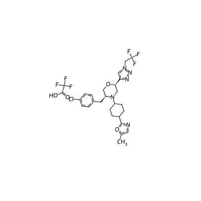 Cc1cnc(C2CCC(N3C[C@H](c4cn(CC(F)(F)F)nn4)OC[C@@H]3Cc3ccc(Cl)cc3)CC2)o1.O=C(O)C(F)(F)F